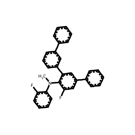 CN(c1ccccc1F)c1c(F)cc(-c2ccccc2)cc1-c1cccc(-c2ccccc2)c1